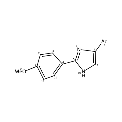 COc1ccc(-c2nc(C(C)=O)c[nH]2)cc1